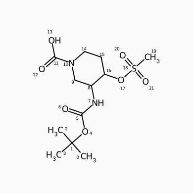 CC(C)(C)OC(=O)NC1CN(C(=O)O)CCC1OS(C)(=O)=O